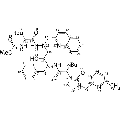 CCC(C)C(C(=O)NC(Cc1ccccc1)C(O)CN(Cc1ccc2ccccc2n1)NC(=O)C(NC(=O)OC)C(C)(C)C)N1CCN(Cc2cccc(C)n2)C1=O